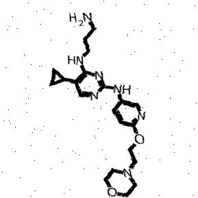 NCCCNc1nc(Nc2ccc(OCCN3CCOCC3)nc2)ncc1C1CC1